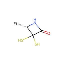 CC[C@@H]1NC(=O)C1(S)S